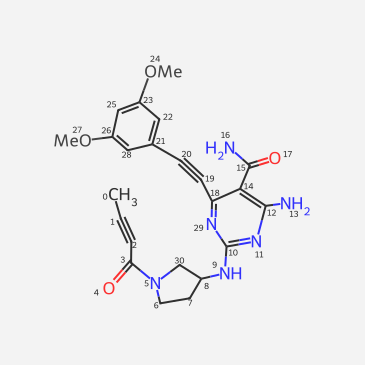 CC#CC(=O)N1CCC(Nc2nc(N)c(C(N)=O)c(C#Cc3cc(OC)cc(OC)c3)n2)C1